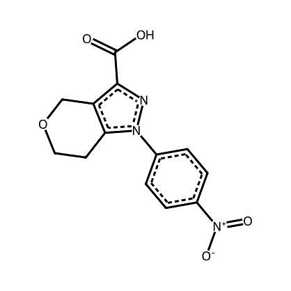 O=C(O)c1nn(-c2ccc([N+](=O)[O-])cc2)c2c1COCC2